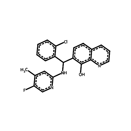 Cc1cc(NC(c2ccccc2Cl)c2ccc3cccnc3c2O)ncc1F